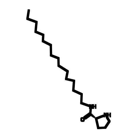 CCCCCCCCCCCCCCCCNC(=O)[C@H]1CCCN1